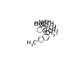 CC1=Cc2c(cccc2C23CCCC2(C([NH])=O)[Si](C)(C)[Si](C)(C)[Si]3(C)C)C1